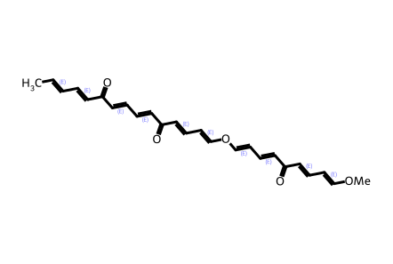 C/C=C/C=C/C(=O)/C=C/C=C/C(=O)/C=C/C=C/O/C=C/C=C/C(=O)/C=C/C=C/OC